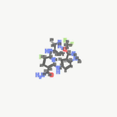 CCC[C@@H](Nc1nc(Nc2ccc3c(c2)c(OC(F)F)nn3C)c(C(N)=O)cc1F)[C@H](C)N